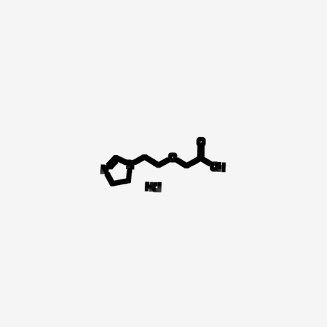 Cl.O=C(O)COCCN1C=NCC1